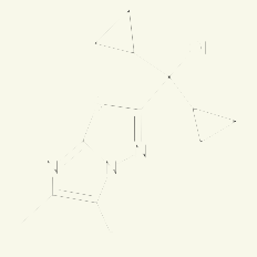 Cc1nc2sc(C(O)(C3CC3)C3CC3)nn2c1I